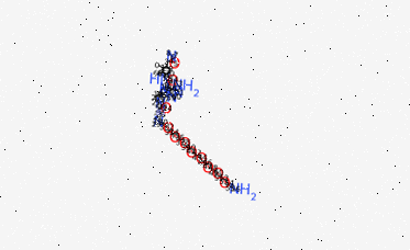 Cc1c(CC(=O)N(C)C)ccc(NC(=O)c2nn([C@@H]3CCCN(C(=O)/C=C/CN(C)CCOCCOCCOCCOCCOCCOCCOCCOCCN)C3)c3ncnc(N)c23)c1C